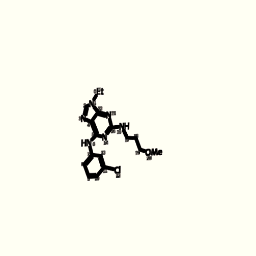 CCn1cnc2c(Nc3cccc(Cl)c3)nc(NCCCOC)nc21